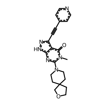 Cn1c(N2CCC3(CCOC3)CC2)nc2[nH]nc(C#Cc3ccncc3)c2c1=O